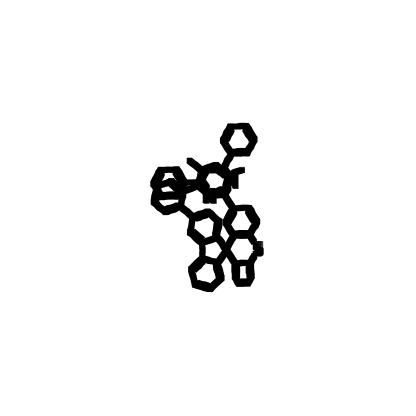 Cc1cnc(-c2ccccc2-c2ccc3c(c2)-c2ccccc2C32c3ccccc3Sc3ccc(-c4nc(-c5ccccc5)cc(-c5ccccc5)n4)cc32)c(C)c1